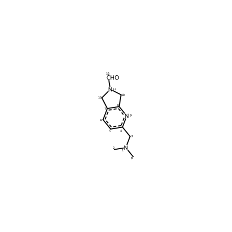 CN(C)Cc1ccc2c(n1)CN(C=O)C2